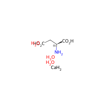 N[C@@H](CC(=O)O)C(=O)O.O.O.O.[CaH2]